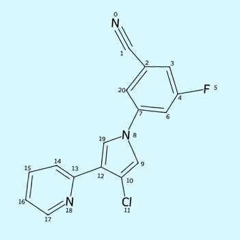 N#Cc1cc(F)cc(-n2cc(Cl)c(-c3ccccn3)c2)c1